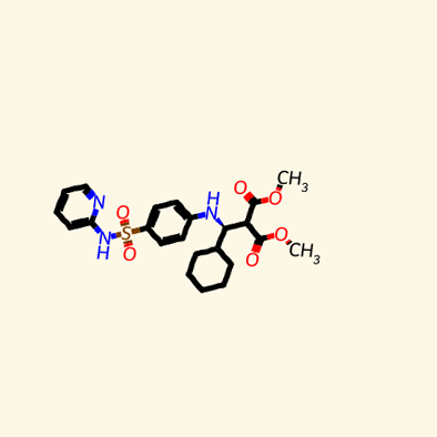 COC(=O)C(C(=O)OC)[C@H](Nc1ccc(S(=O)(=O)Nc2ccccn2)cc1)C1CCCCC1